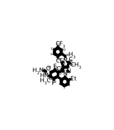 CCc1cccc2c1-n1nc3c(c1C1(C)C(F)=CC(C)(NC(N)=O)C(F)=C21)CN(Cc1cc(C(F)(F)F)ccc1C(F)(F)F)C3(C)C